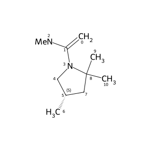 C=C(NC)N1C[C@@H](C)CC1(C)C